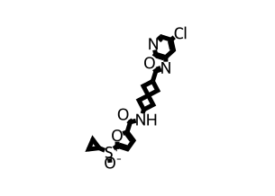 O=C(NC1CC2(C1)CC(c1nc3cc(Cl)cnc3o1)C2)c1ccc([S+]([O-])C2CC2)o1